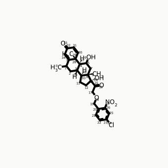 CC1C[C@@H]2[C@H](C(O)C[C@@]3(C)[C@H]2CC[C@]3(O)C(=O)COCc2ccc(Cl)cc2[N+](=O)[O-])[C@@]2(C)C=CC(=O)C=C12